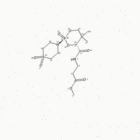 COC(=O)CCNC(=O)[C@@H]1O[P@@](=O)(N2CCS(=O)(=O)CC2)OCC1(C)C